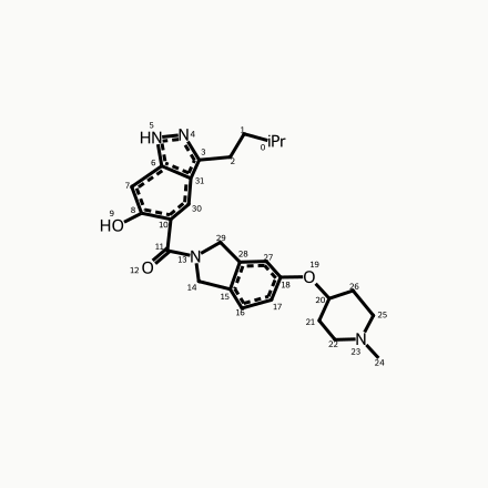 CC(C)CCc1n[nH]c2cc(O)c(C(=O)N3Cc4ccc(OC5CCN(C)CC5)cc4C3)cc12